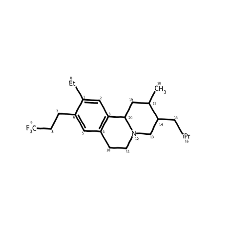 CCc1cc2c(cc1CCC(F)(F)F)CCN1CC(CC(C)C)C(C)CC21